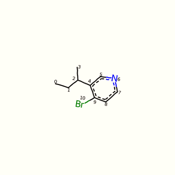 CCC(C)c1cnccc1Br